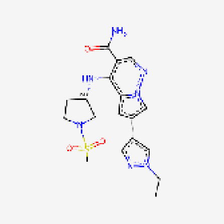 CCn1cc(-c2cc3c(N[C@H]4CCN(S(C)(=O)=O)C4)c(C(N)=O)cnn3c2)cn1